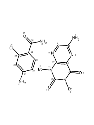 CCn1c(=O)c2nc(N)cnc2n(CC)c1=O.NC(=O)c1ccc(N)cc1Cl